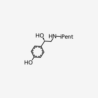 CCCC(C)NC[C@H](O)c1ccc(O)cc1